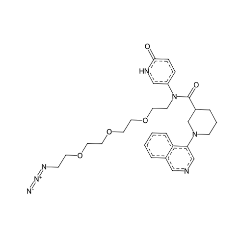 [N-]=[N+]=NCCOCCOCCOCCN(C(=O)C1CCCN(c2cncc3ccccc23)C1)c1ccc(=O)[nH]c1